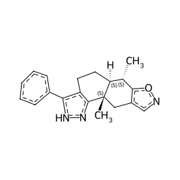 C[C@@H]1c2oncc2C[C@]2(C)c3n[nH]c(-c4ccccc4)c3CC[C@@H]12